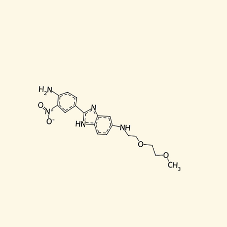 COCCOCCNc1ccc2[nH]c(-c3ccc(N)c([N+](=O)[O-])c3)nc2c1